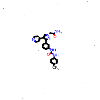 NC(=O)Cn1cc(-c2ccncc2)c(-c2cccc(NC(=O)Nc3ccc(C(F)(F)F)cc3)c2)n1